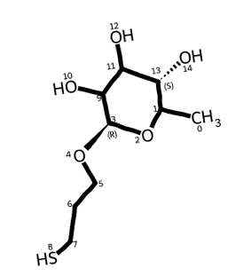 CC1O[C@@H](OCCCS)C(O)C(O)[C@@H]1O